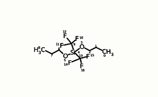 CCCO[Si](OCCC)(C(F)(F)F)C(F)(F)F